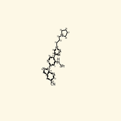 CC(C)Nc1cc(-n2ncc3cc(C#N)cnc32)ncc1-c1cn(CCCN2CCCC2)nn1